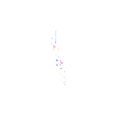 O=c1cc(OCc2ccc(F)cc2)ccn1-c1ccc(CO[C@H]2CCNC2)cc1